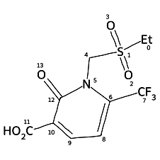 CCS(=O)(=O)Cn1c(C(F)(F)F)ccc(C(=O)O)c1=O